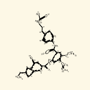 CCc1ccc2oc(C(=O)Nc3cc(OC)c(OC)cc3C(=O)Nc3ccc(CCNC(=O)O)cc3)cc(=O)c2c1